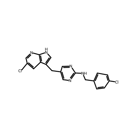 Clc1ccc(CNc2ncc(Cc3c[nH]c4ncc(Cl)cc34)cn2)cc1